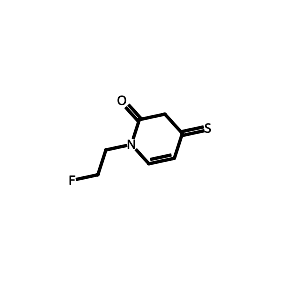 O=C1CC(=S)C=CN1CCF